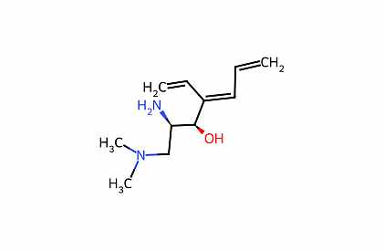 C=C/C=C(\C=C)[C@@H](O)[C@H](N)CN(C)C